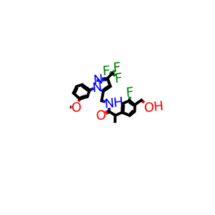 COc1cccc(-n2nc(C(F)(F)F)cc2CNC(=O)C(C)c2ccc(CO)c(F)c2)c1